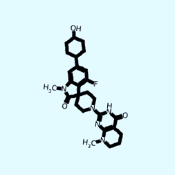 CN1CCCc2c1nc(N1CCC3(CC1)C(=O)N(C)c1cc(C4CCC(O)CC4)cc(F)c13)[nH]c2=O